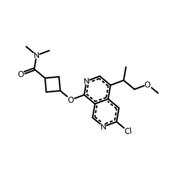 COCC(C)c1cnc(OC2CC(C(=O)N(C)C)C2)c2cnc(Cl)cc12